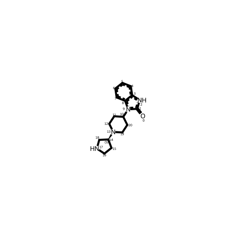 O=c1[nH]c2ccccc2n1C1CCN([C@H]2CCNC2)CC1